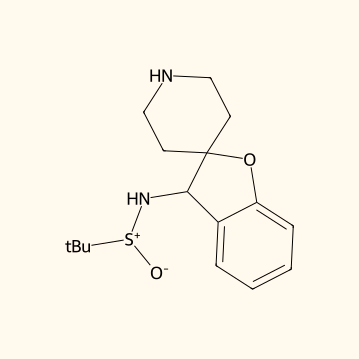 CC(C)(C)[S+]([O-])NC1c2ccccc2OC12CCNCC2